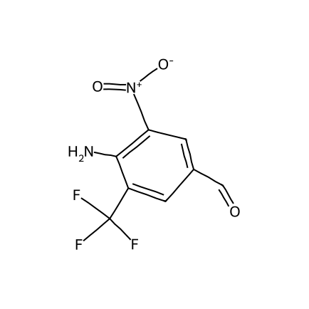 Nc1c([N+](=O)[O-])cc(C=O)cc1C(F)(F)F